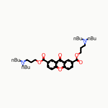 CCCCN(CCCC)CCCOC(=O)c1ccc2oc3ccc(C(=O)OCCCN(CCCC)CCCC)cc3c(=O)c2c1